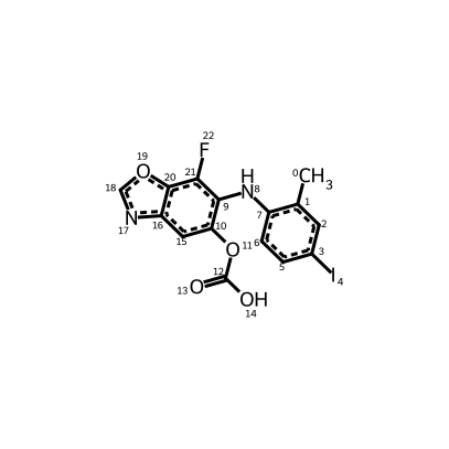 Cc1cc(I)ccc1Nc1c(OC(=O)O)cc2ncoc2c1F